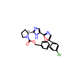 O=C(OCc1ccccc1)N1CCC[C@H]1c1ncc(-c2ncc(-c3ccc(Br)cc3)o2)[nH]1